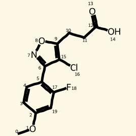 COc1ccc(-c2noc(CCC(=O)O)c2Cl)c(F)c1